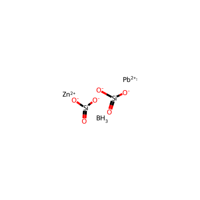 B.O=[Si]([O-])[O-].O=[Si]([O-])[O-].[Pb+2].[Zn+2]